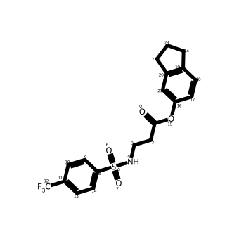 O=C(CCNS(=O)(=O)c1ccc(C(F)(F)F)cc1)Oc1ccc2c(c1)CCC2